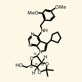 COc1ccc(CNc2ncnc3c2c(C2CCCC2)cn3[C@@H]2O[C@H](CO)[C@H]3OC(C)(C)O[C@H]32)c(OC)c1